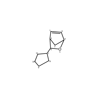 C1=CC2CC1OC2C1CCCC1